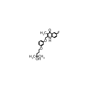 Cc1c(COc2cccc(OCCCC(C)(C)O)c2)[nH]c2ccc(F)cc2c1=O